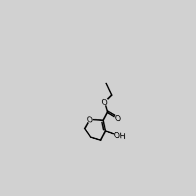 CCOC(=O)C1=C(O)CCCO1